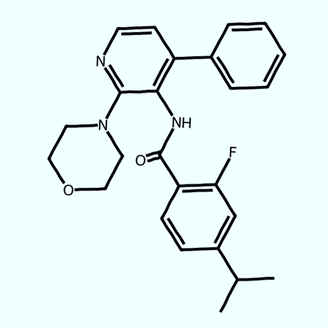 CC(C)c1ccc(C(=O)Nc2c(-c3ccccc3)ccnc2N2CCOCC2)c(F)c1